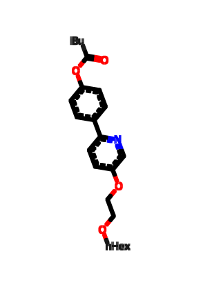 CCCCCCOCCOc1ccc(-c2ccc(OC(=O)C(C)CC)cc2)nc1